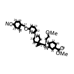 COCCn1c(C2CC23CCN(c2cccc(OCc4ccc(C#N)cc4F)n2)CC3)nc2cc(C(=O)OC)ccc21